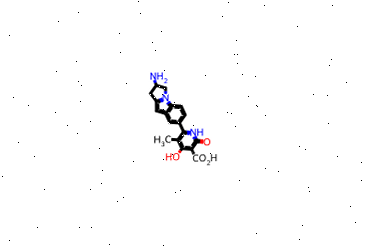 Cc1c(-c2ccc3c(c2)cc2n3CC(N)C2)[nH]c(=O)c(C(=O)O)c1O